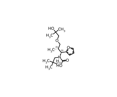 C[C@H](COCC(C)(C)O)[C@@H](c1ccco1)N(CC(C)(C)C)C(=O)O